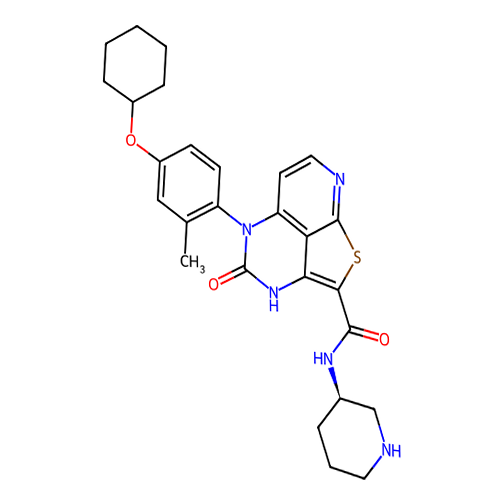 Cc1cc(OC2CCCCC2)ccc1N1C(=O)Nc2c(C(=O)N[C@@H]3CCCNC3)sc3nccc1c23